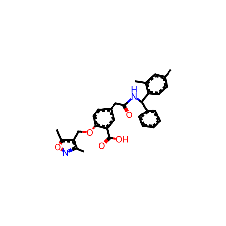 Cc1ccc(C(NC(=O)Cc2ccc(OCc3c(C)noc3C)c(C(=O)O)c2)c2ccccc2)c(C)c1